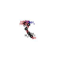 C[C@H]1OC(Oc2cc(OCc3cccc(COc4ccc(C(C)(C)c5ccc(O)cc5)cc4)c3)ccc2C(=N)N)[C@H](O)[C@@H](O)[C@@H]1O